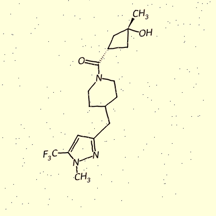 Cn1nc(CC2CCN(C(=O)[C@H]3C[C@@](C)(O)C3)CC2)cc1C(F)(F)F